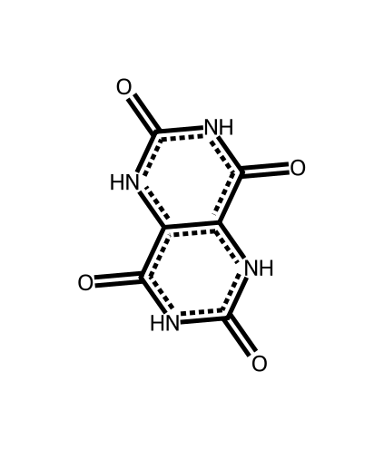 O=c1[nH]c(=O)c2[nH]c(=O)[nH]c(=O)c2[nH]1